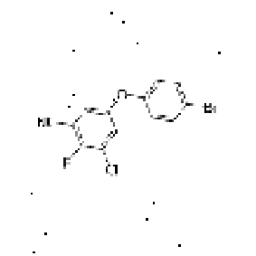 N#Cc1cc(Oc2ccc(Br)cc2)cc(Cl)c1F